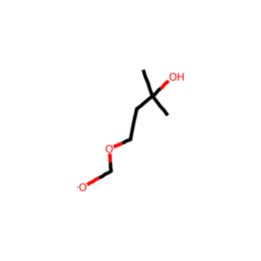 CC(C)(O)CCOC[O]